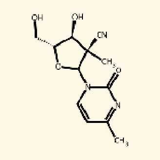 Cc1ccn(C2O[C@H](CO)[C@@H](O)[C@@]2(C)C#N)c(=O)n1